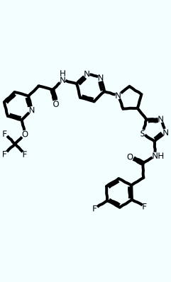 O=C(Cc1cccc(OC(F)(F)F)n1)Nc1ccc(N2CCC(c3nnc(NC(=O)Cc4ccc(F)cc4F)s3)C2)nn1